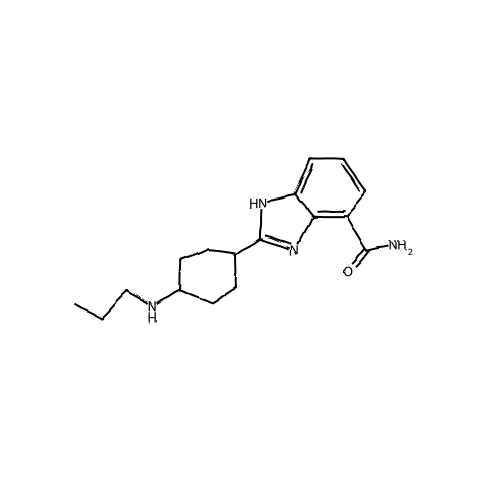 CCCNC1CCC(c2nc3c(C(N)=O)cccc3[nH]2)CC1